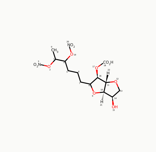 CC(O[N+](=O)[O-])C(CCCC1O[C@H]2[C@@H](OC[C@H]2O)[C@@H]1OC(=O)O)O[N+](=O)[O-]